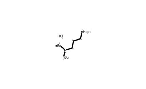 CCCCCCCCCCN(CCCC)CCCC.Cl